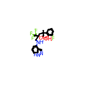 CC(C)(CC(O)(CNc1cccc2[nH]ncc12)C(F)(F)F)c1cccc(F)c1O